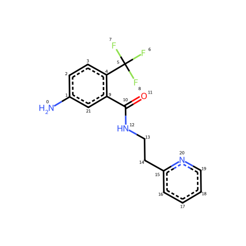 Nc1ccc(C(F)(F)F)c(C(=O)NCCc2ccccn2)c1